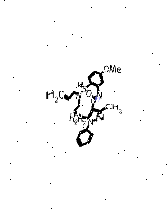 C=CCN(CC=C)S(=O)(=O)c1ccc(OC)cc1/N=N/c1c(C)nn(-c2ccccc2)c1N